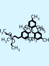 CCO[Si](C)(CCc1cc(C)c(N(c2c(C)cc(C)cc2C)c2c(C)cc(C)cc2C)c(C)c1)OCC